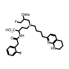 COC(CF)CN(CCCCc1ccc2c(n1)NCCC2)CCC(NC(=O)Cc1ccccc1F)C(=O)O